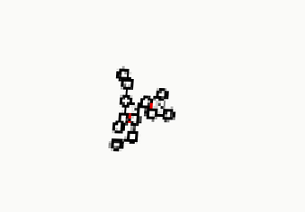 c1ccc(-c2cccc(-c3ccc(N(c4ccc(-c5ccccc5-n5c6ccccc6c6ccccc65)cc4)c4cc(-c5ccc6ccccc6c5)ccc4-c4ccc5ccccc5c4)cc3)c2)cc1